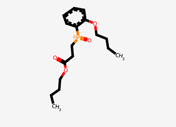 CCCCOC(=O)CC[PH](=O)c1ccccc1OCCCC